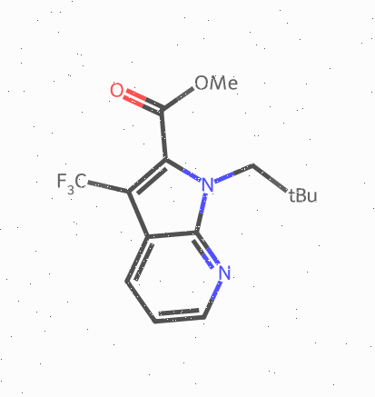 COC(=O)c1c(C(F)(F)F)c2cccnc2n1CC(C)(C)C